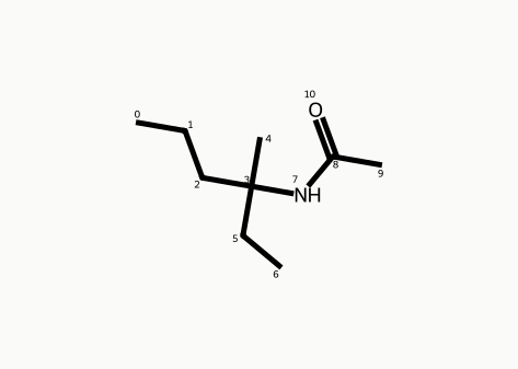 CCCC(C)(CC)NC(C)=O